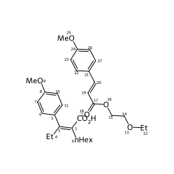 CCCCCCC(C(=O)O)=C(CC)c1ccc(OC)cc1.CCOCCOC(=O)C=Cc1ccc(OC)cc1